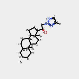 Cc1cnn(CC(=O)C2CCC3C4CCC5C[C@@H](C)CCC5(C)C4CCC23C)n1